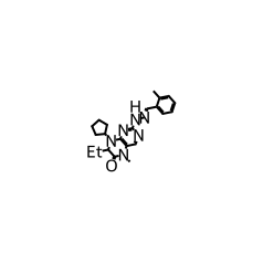 CCC1C(=O)N(C)c2cnc(NN=Cc3ccccc3C)nc2N1C1CCCC1